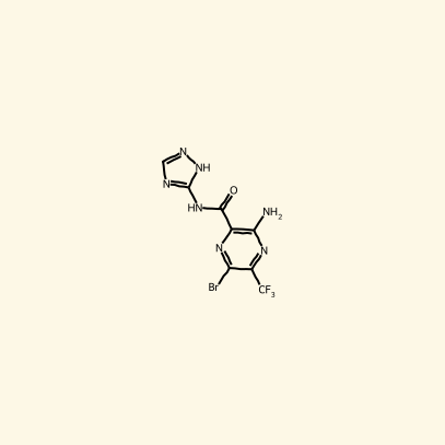 Nc1nc(C(F)(F)F)c(Br)nc1C(=O)Nc1ncn[nH]1